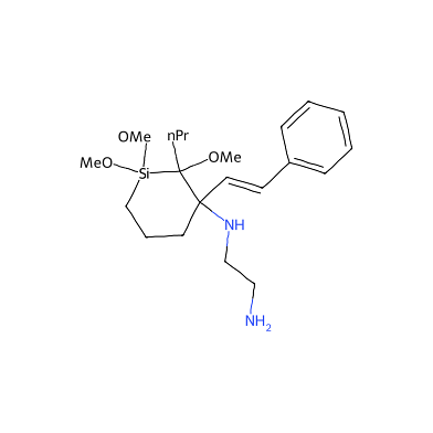 CCCC1(OC)C(C=Cc2ccccc2)(NCCN)CCC[Si]1(OC)OC